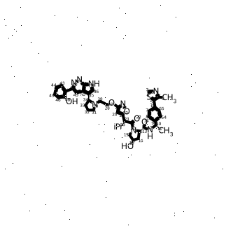 Cc1ncsc1-c1ccc([C@H](C)NC(=O)[C@@H]2C[C@@H](O)CN2C(=O)[C@@H](c2cc(OCCN3CCC[C@H]3c3c[nH]c4nnc(-c5ccccc5O)cc34)no2)C(C)C)cc1